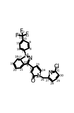 O=c1cc(-c2nn(-c3ccc(C(F)(F)F)cc3)c3ccccc23)ccn1Cc1cccc(Cl)n1